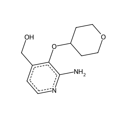 Nc1nccc(CO)c1OC1CCOCC1